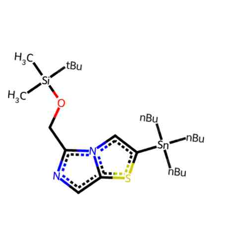 CCC[CH2][Sn]([CH2]CCC)([CH2]CCC)[c]1cn2c(CO[Si](C)(C)C(C)(C)C)ncc2s1